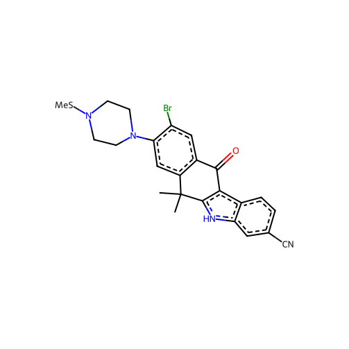 CSN1CCN(c2cc3c(cc2Br)C(=O)c2c([nH]c4cc(C#N)ccc24)C3(C)C)CC1